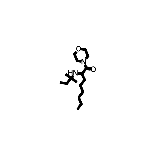 CCCCCCC(NC(C)(C)CC)C(=O)N1CCOCC1